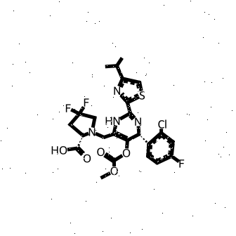 COC(=O)OC1=C(CN2CC(F)(F)C[C@H]2C(=O)O)NC(c2nc(C(C)C)cs2)=N[C@@H]1c1ccc(F)cc1Cl